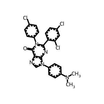 CN(C)c1ccc(-n2cnc3c(=O)n(-c4ccc(Cl)cc4)c(-c4ccc(Cl)cc4Cl)nc32)cc1